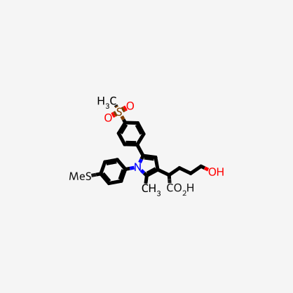 CSc1ccc(-n2c(-c3ccc(S(C)(=O)=O)cc3)cc(C(CCCO)C(=O)O)c2C)cc1